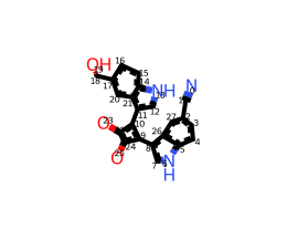 N#Cc1ccc2[nH]cc(-c3c(-c4c[nH]c5ccc(CO)cc45)c(=O)c3=O)c2c1